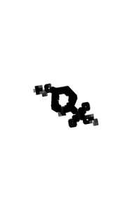 [CH2]c1ccc(S(=O)(=O)C(F)(F)F)nc1